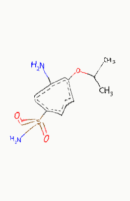 CC(C)Oc1ccc(S(N)(=O)=O)cc1N